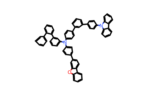 c1ccc(-c2ccccc2-c2cccc(N(c3ccc(-c4cccc(-c5ccc(-n6c7ccccc7c7ccccc76)cc5)c4)cc3)c3ccc(-c4ccc5c(c4)oc4ccccc45)cc3)c2)cc1